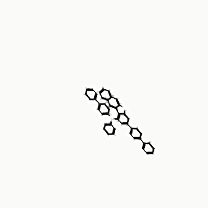 c1ccc(-c2ccc(-c3cc(N(c4ccccc4)c4ccc(-c5ccccc5)cc4)c4c(c3)oc3cc5ccccc5cc34)cc2)cc1